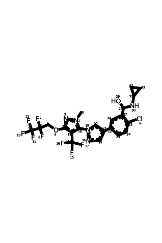 Cn1nc(OCC(F)(F)C(F)(F)F)c(C(F)(F)F)c1-n1cc(-c2ccc(Cl)c(C(O)NC3CC3)c2)cn1